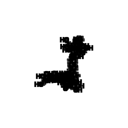 CCC(OC(C)=O)/C(OC1OCC(O)C(O)C1O)=C(/O)C(O)OC(CC)C(O)C(CO)(OC(=O)[C@]12CCC(C)(C)CC1C1=CCC3[C@@]4(C)CC[C@H](OC(O)C(OC(O)/C(O)=C(\O)C(O)CCO)C(OC5OCC(O)C(O)C5O)C(O)CC(=O)On5nnc6cccnc65)[C@@](C)(C=O)C4CC[C@@]3(C)[C@]1(C)C[C@H]2O)OC1OC(C)C(OC(O)/C(O)=C(/OC(O)/C(O)=C(/O)C(O)CCO)C(C)O)C(O)C1O